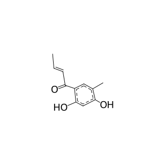 C/C=C/C(=O)c1cc(C)c(O)cc1O